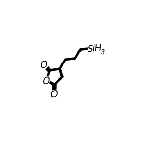 O=C1CC(CCC[SiH3])C(=O)O1